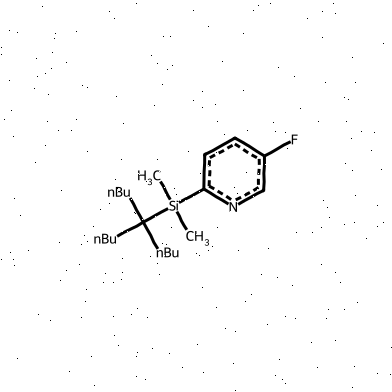 CCCCC(CCCC)(CCCC)[Si](C)(C)c1ccc(F)cn1